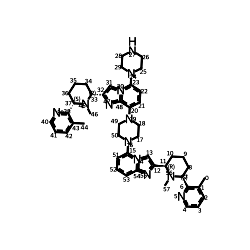 Cc1cccnc1[C@@H]1CCC[C@H](c2cn3c(N4CCN(c5ccc(N6CCNCC6)n6cc([C@H]7CCC[C@@H](c8ncccc8C)N7C)nc56)CC4)cccc3n2)N1C